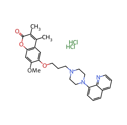 COc1cc2oc(=O)c(C)c(C)c2cc1OCCCN1CCN(c2cccc3cccnc23)CC1.Cl.Cl